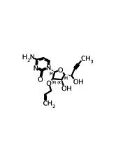 C=CCO[C@@H]1[C@H](O)[C@@H](C(O)C#CC)O[C@H]1n1ccc(N)nc1=O